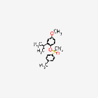 C=S(=O)(Oc1ccc(OC)cc1C(C)C)c1ccc(C)cc1